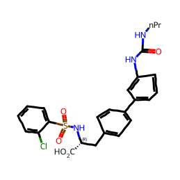 CCCNC(=O)Nc1cccc(-c2ccc(C[C@@H](NS(=O)(=O)c3ccccc3Cl)C(=O)O)cc2)c1